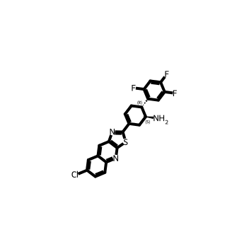 N[C@H]1CC(c2nc3cc4cc(Cl)ccc4nc3s2)=CC[C@@H]1c1cc(F)c(F)cc1F